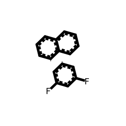 Fc1c[c]cc(F)c1.[c]1cccc2ccccc12